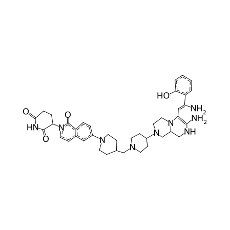 NC1=C(/C=C(\N)c2ccccc2O)N2CCN(C3CCN(CC4CCN(c5ccc6c(=O)n(C7CCC(=O)NC7=O)ccc6c5)CC4)CC3)CC2CN1